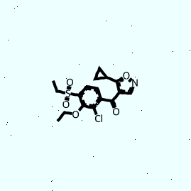 CCOc1c(S(=O)(=O)CC)ccc(C(=O)c2cnoc2C2CC2)c1Cl